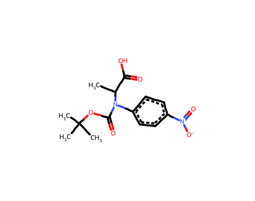 CC(C(=O)O)N(C(=O)OC(C)(C)C)c1ccc([N+](=O)[O-])cc1